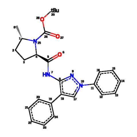 C[C@H]1CC[C@H](C(=O)Nc2nn(-c3ccccc3)cc2-c2ccccc2)N1C(=O)OC(C)(C)C